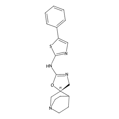 c1ccc(-c2cnc(NC3=NC[C@@]4(CN5CCC4CC5)O3)s2)cc1